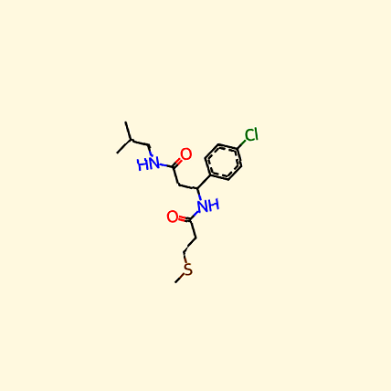 CSCCC(=O)NC(CC(=O)NCC(C)C)c1ccc(Cl)cc1